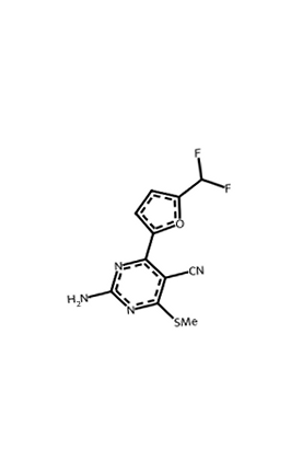 CSc1nc(N)nc(-c2ccc(C(F)F)o2)c1C#N